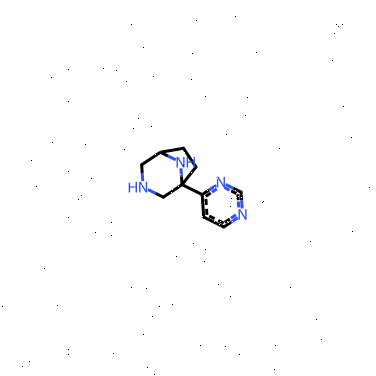 c1cc(C23CCC(CNC2)N3)ncn1